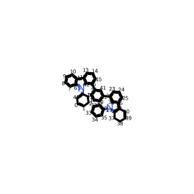 C1=CCCC(n2c3ccccc3c3cccc(-c4cccc(-c5cccc6c7c(n(-c8ccccc8)c56)CCC=C7)c4)c32)=C1